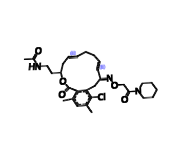 CC(=O)NCCC1C/C=C/CC/C=C/C(=NOCC(=O)N2CCCCC2)Cc2c(Cl)c(C)cc(C)c2C(=O)O1